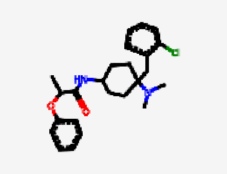 CC(Oc1ccccc1)C(=O)NC1CCC(Cc2ccccc2Cl)(N(C)C)CC1